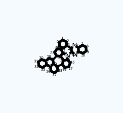 c1ccc(-c2nc3ccccc3nc2-n2c3cccc4c3c3c(cccc32)-c2cc3ccccc3c3cccc-4c23)cc1